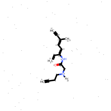 C#CCCN(CC(=O)N/C(C=C)=C/C=C(\C)C#C)C(C)=O